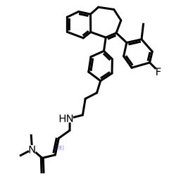 C=C(/C=C/CNCCCc1ccc(C2=C(c3ccc(F)cc3C)CCCc3ccccc32)cc1)N(C)C